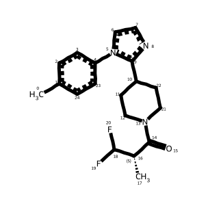 Cc1ccc(-n2ccnc2C2CCN(C(=O)[C@H](C)C(F)F)CC2)cc1